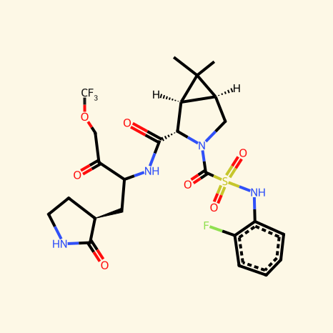 CC1(C)[C@@H]2[C@@H](C(=O)NC(C[C@@H]3CCNC3=O)C(=O)COC(F)(F)F)N(C(=O)S(=O)(=O)Nc3ccccc3F)C[C@@H]21